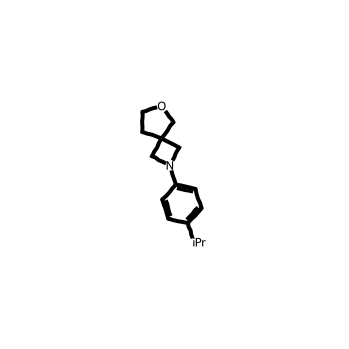 CC(C)c1ccc(N2CC3(CCOC3)C2)cc1